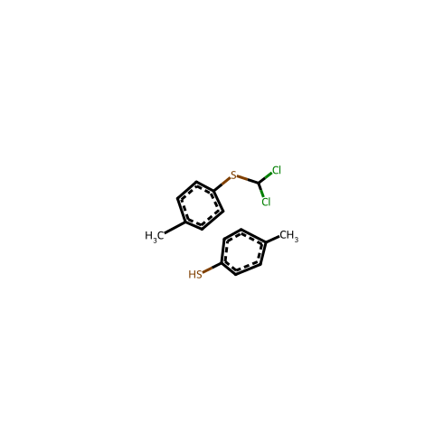 Cc1ccc(S)cc1.Cc1ccc(SC(Cl)Cl)cc1